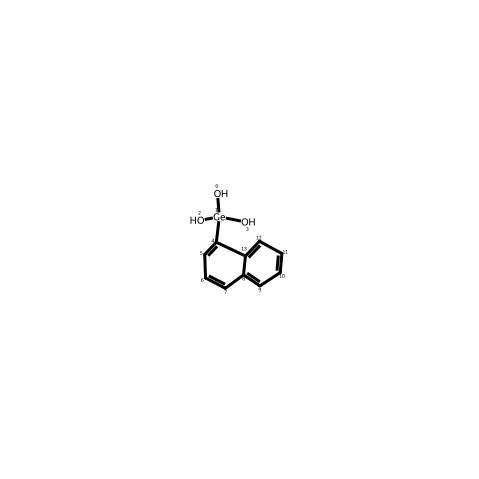 [OH][Ge]([OH])([OH])[c]1cccc2ccccc12